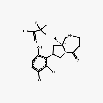 O=C(O)C(F)(F)F.O=C1CCNC[C@@H]2C[C@H](c3c(O)ccc(Cl)c3Cl)CN12